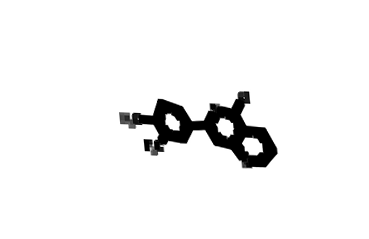 Cc1ccc(-c2cc3ncccc3c(Cl)n2)cc1C(F)(F)F